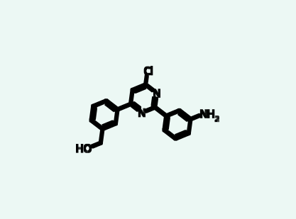 Nc1cccc(-c2nc(Cl)cc(-c3cccc(CO)c3)n2)c1